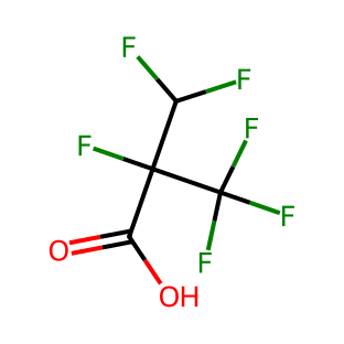 O=C(O)C(F)(C(F)F)C(F)(F)F